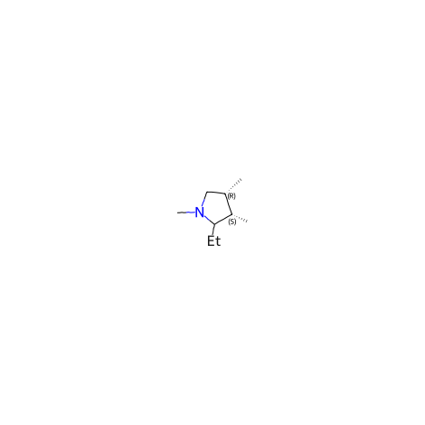 CCC1[C@@H](C)[C@@H](C)CN1C